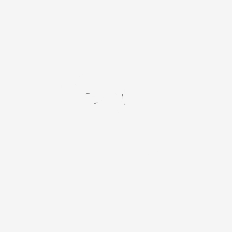 CCC(=O)Oc1ccc2c(c1)CC[C@@H]1[C@@H]2CC[C@]2(C)[C@@H](OC(=O)CC)CC[C@@H]12